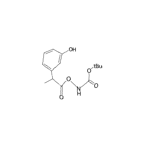 CC(C(=O)ONC(=O)OC(C)(C)C)c1cccc(O)c1